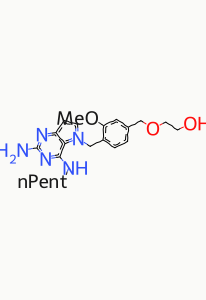 CCCCCNc1nc(N)nc2ccn(Cc3ccc(COCCO)cc3OC)c12